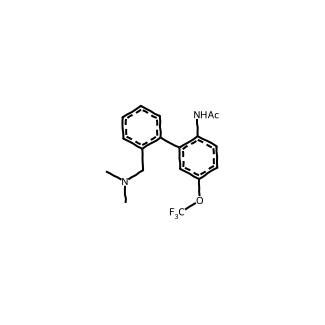 CC(=O)Nc1ccc(OC(F)(F)F)cc1-c1ccccc1CN(C)C